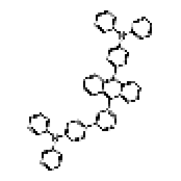 c1ccc(N(c2ccccc2)c2ccc(-c3cccc(-c4c5ccccc5c(-c5ccc(N(c6ccccc6)c6ccccc6)cc5)c5ccccc45)c3)cc2)cc1